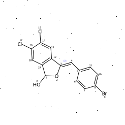 OC1O/C(=C\c2ccc(Br)cc2)c2cc(Cl)c(Cl)cc21